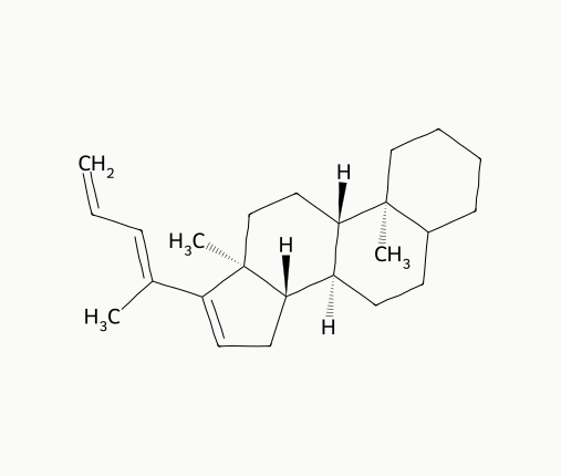 C=CC=C(C)C1=CC[C@H]2[C@@H]3CCC4CCCC[C@]4(C)[C@H]3CC[C@]12C